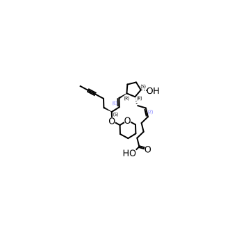 CC#CCC[C@@H](/C=C/[C@H]1CC[C@H](O)[C@@H]1C/C=C\CCCC(=O)O)OC1CCCCO1